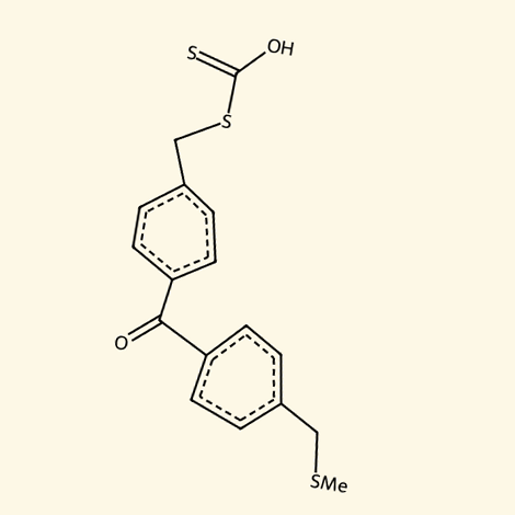 CSCc1ccc(C(=O)c2ccc(CSC(O)=S)cc2)cc1